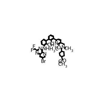 COC(=O)C1CCC(CN(C)Cc2ccc(-c3cccc(-c4cccc(Nc5nc(C(F)F)nc6cc(Br)cnc56)c4C)c3Cl)nc2OC)CC1